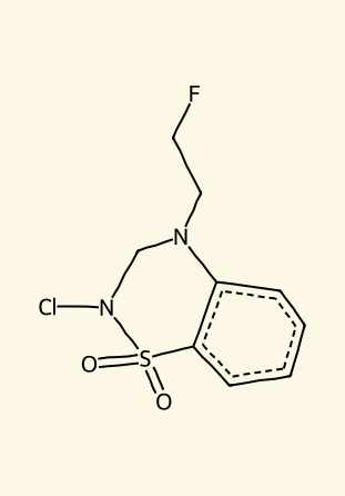 O=S1(=O)c2ccccc2N(CCF)CN1Cl